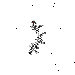 Nc1c(N=Nc2ccc3c(O)c(N=Nc4ccc([N+](=O)[O-])cc4S(=O)(=O)O)c(SOOO)cc3c2)c(SOOO)cc2cc(S(=O)(=O)O)c(N=Nc3ccc4c(O)c(N=Nc5ccc([N+](=O)[O-])cc5SOOO)c(S(=O)(=O)O)cc4c3)c(O)c12